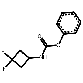 O=C(NC1CC(F)(F)C1)Oc1ccccc1